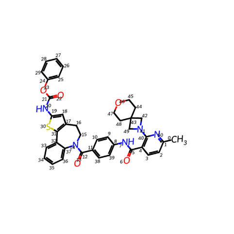 Cc1ccc(C(=O)Nc2ccc(C(=O)N3CCc4cc(NC(=O)Oc5ccccc5)sc4-c4ccccc43)cc2)c(N2CC3(CCOCC3)C2)n1